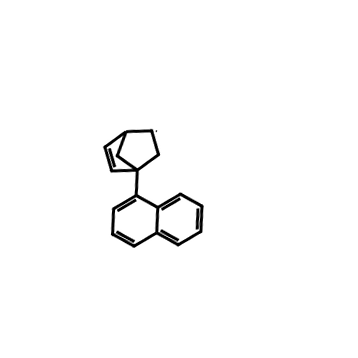 [CH]1CC2(c3cccc4ccccc34)C=CC1C2